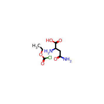 CCOC(=O)Cl.NC(=O)CC(N)C(=O)O